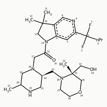 CCCC(F)(F)c1cc2c(cn1)C(C)(C)CN2C(=O)CN1CC(C)NC[C@@H]1CN1CCOC[C@@]1(C)CO